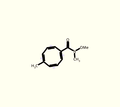 CON(C)C(=O)C1=C/C=C\C(C)=C/C=C\1